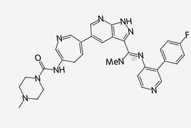 CN/C(=N\c1ccncc1-c1ccc(F)cc1)c1n[nH]c2ncc(C3=CCC(NC(=O)N4CCN(C)CC4)=CN=C3)cc12